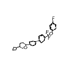 Fc1ccc(OC(F)(F)c2ccc(-c3ccc(C4CCC(C5CCC5)CO4)cc3)cc2)cc1